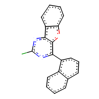 Clc1nc(-c2cccc3ccccc23)c2oc3ccccc3c2n1